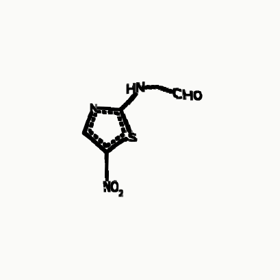 O=CNc1ncc([N+](=O)[O-])s1